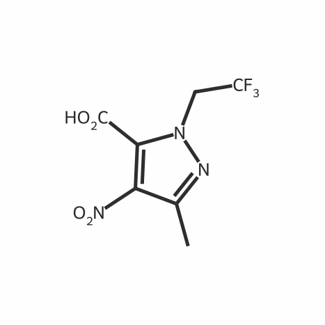 Cc1nn(CC(F)(F)F)c(C(=O)O)c1[N+](=O)[O-]